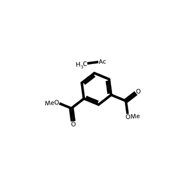 CC(C)=O.COC(=O)c1cccc(C(=O)OC)c1